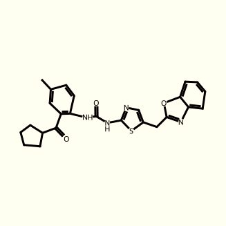 Cc1ccc(NC(=O)Nc2ncc(Cc3nc4ccccc4o3)s2)c(C(=O)C2CCCC2)c1